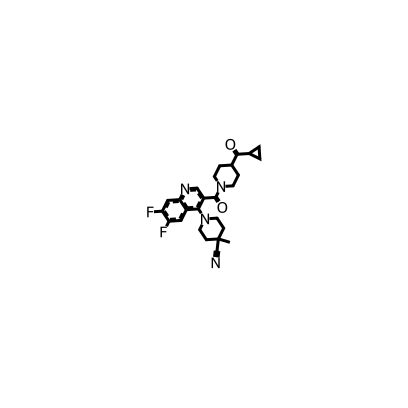 CC1(C#N)CCN(c2c(C(=O)N3CCC(C(=O)C4CC4)CC3)cnc3cc(F)c(F)cc23)CC1